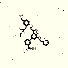 CCOC(=O)Cc1cc(COC)ccc1OCc1coc2c(OCc3ccccn3)cc(-c3cccc(C(=N)N)c3)cc12